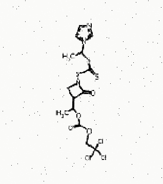 CC(OC(=O)OCC(Cl)(Cl)Cl)C1CN(SC(=S)SC(C)n2ccnc2)C1=O